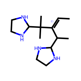 C/C=C(\C(C)C1NCCN1)C(C)(C)C1NCCN1